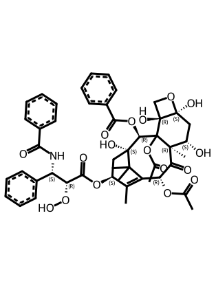 CC(=O)O[C@H]1C(=O)[C@]2(C)[C@@H](O)C[C@]3(O)OC[C@@]3(O)C2(OC(C)=O)[C@H](OC(=O)c2ccccc2)[C@]2(O)C[C@H](OC(=O)[C@H](OO)[C@@H](NC(=O)c3ccccc3)c3ccccc3)C(C)=C1C2(C)C